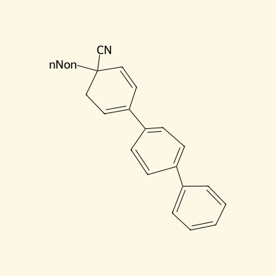 CCCCCCCCCC1(C#N)C=CC(c2ccc(-c3ccccc3)cc2)=CC1